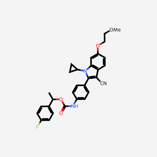 COCCOc1ccc2c(C#N)c(-c3ccc(NC(=O)OC(C)c4ccc(F)cc4)cc3)n(C3CC3)c2c1